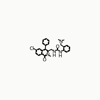 CN(C)Cc1ccccc1NC(=O)NCc1c(-c2ccccc2)c2cc(Cl)ccc2c(=O)n1C